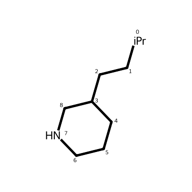 CC(C)CCC1CCCNC1